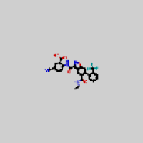 CCNC(=O)c1cc2c(C(=O)Nc3ccc(C#N)cc3C(=O)O)noc2cc1-c1ccccc1C(F)(F)F